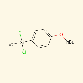 CCCCOc1ccc([Si](Cl)(Cl)CC)cc1